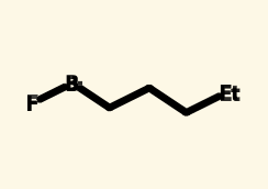 CCCCC[B]F